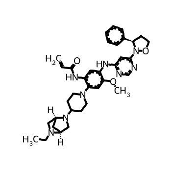 C=CC(=O)Nc1cc(Nc2cc(N3OCC[C@@H]3c3ccccc3)ncn2)c(OC)cc1N1CCC(N2C[C@@H]3C[C@H]2CN3CC)CC1